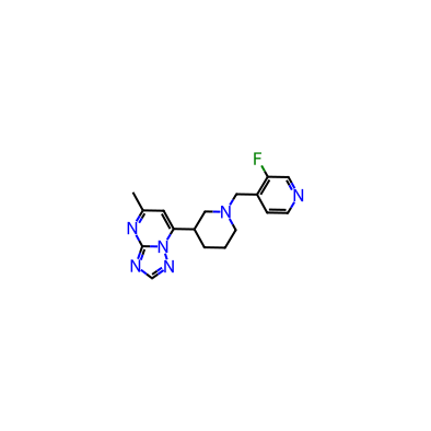 Cc1cc(C2CCCN(Cc3ccncc3F)C2)n2ncnc2n1